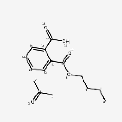 CC(C)=O.CCCCOC(=O)c1ccccc1C(=O)O